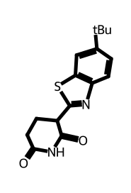 CC(C)(C)c1ccc2nc(C3CCC(=O)NC3=O)sc2c1